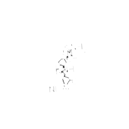 CC(=O)Nc1ccc([S+]([O-])Nc2cc(C3(C)CCSC(N)=N3)ccc2F)cc1Cl